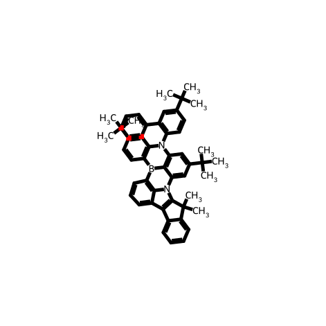 CC(C)(C)c1ccc(N2c3cc(C(C)(C)C)ccc3B3c4c2cc(C(C)(C)C)cc4-n2c4c(c5cccc3c52)-c2ccccc2C4(C)C)c(-c2ccccc2)c1